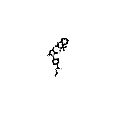 CCOC(=O)c1ccc(N2C(=O)CC(S/C(=N/c3ccccc3)NC(C)(C)C)C2=O)cc1